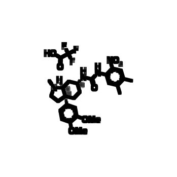 COc1ccc([C@@]23CC[C@@H](NC(=O)Nc4cc(C)c(C)cc4[N+](=O)[O-])C[C@@H]2N(C)CC3)cc1OC.O=C(O)C(F)(F)F